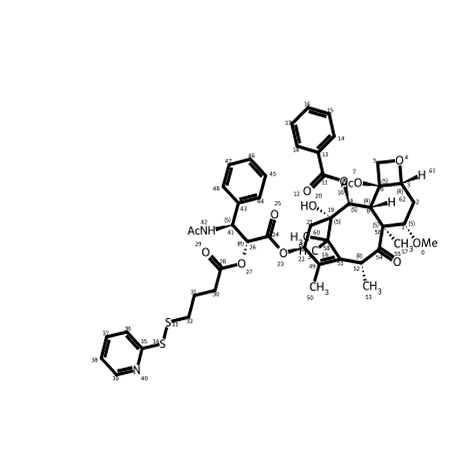 CO[C@H]1C[C@H]2OC[C@@]2(OC(C)=O)[C@H]2[C@H](OC(=O)c3ccccc3)[C@]3(O)C[C@H](OC(=O)[C@H](OC(=O)CCCSSc4ccccn4)[C@@H](NC(C)=O)c4ccccc4)C(C)=C([C@@H](C)C(=O)[C@]12C)C3(C)C